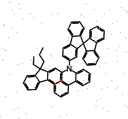 CCCC1(CC)c2ccccc2-c2ccc(N(c3ccc4c(c3)C3(c5ccccc5-c5ccccc53)c3ccccc3-4)c3ccccc3-c3ccccc3)cc21